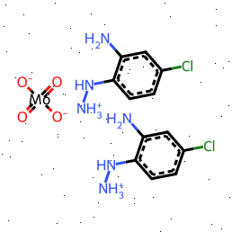 Nc1cc(Cl)ccc1N[NH3+].Nc1cc(Cl)ccc1N[NH3+].[O]=[Mo](=[O])([O-])[O-]